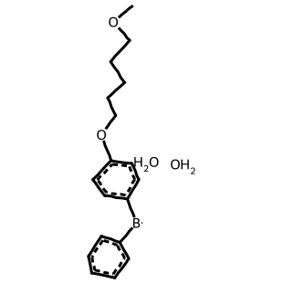 COCCCCCOc1ccc([B]c2ccccc2)cc1.O.O